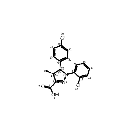 C[C@@H]1C(C(=O)O)=NN(c2ccccc2Cl)[C@@H]1c1ccc(Cl)cc1